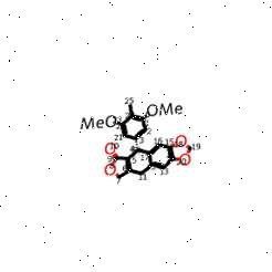 COc1cc([C@H]2C3=C(COC3=O)Cc3cc4c(cc32)OCO4)cc(OC)c1C